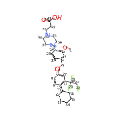 COc1cc(COc2ccc(C3CCCCC3)c(C(F)(F)CF)c2)ccc1N1CCN(CCC(=O)O)CC1